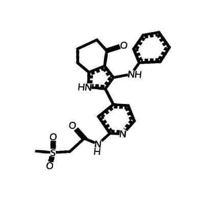 CS(=O)(=O)CC(=O)Nc1cc(-c2[nH]c3c(c2Nc2ccccc2)C(=O)CCC3)ccn1